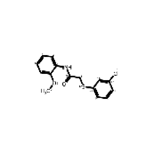 COc1ccccc1NC(=O)CSc1cccc(Cl)c1